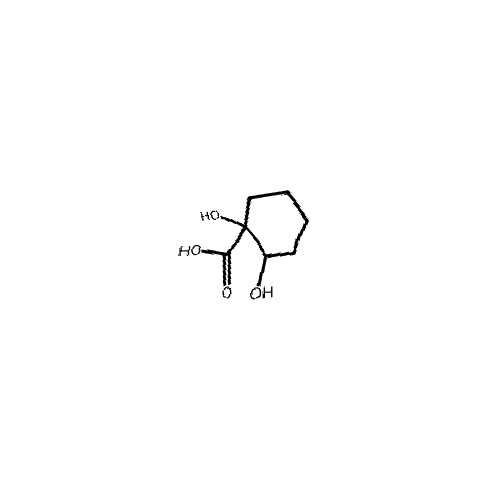 O=C(O)C1(O)CCCCC1O